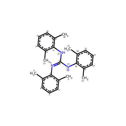 Cc1cccc(C)c1N=C(Nc1c(C)cccc1C)Nc1c(C)cccc1C